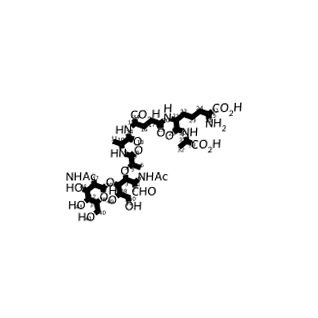 CC(=O)NC(C=O)C(OC(C)C(=O)NC(C)C(=O)NC(CCC(=O)NC(CCCC(N)C(=O)O)C(=O)NC(C)C(=O)O)C(=O)O)C(OC1OC(CO)C(O)C(O)C1NC(C)=O)C(O)CO